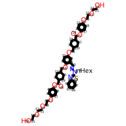 CCCCCCN(/N=C/c1cc(OCC2CCC(C(=O)Oc3ccc(OCCOCCO)cc3)CC2)ccc1OCC1CCC(C(=O)Oc2ccc(OCCOCCOCCO)cc2)CC1)c1nc2ccccc2s1